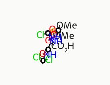 COc1ccc(OC)c(S(=O)(=O)c2ccc(Cl)cc2NC(=O)NC(Cc2ccc(NC(=O)c3c(Cl)cccc3Cl)cc2)C(=O)O)c1